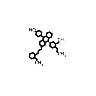 CCCC1CC[C@@H](C2C3CCCCC3C(C3CCC(O)CC3)C3CC[C@H](CCCC4CCCCC4CC)CC32)CC1CC